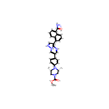 C[C@@H]1CN(C(=O)OC(C)(C)C)C[C@H](C)N1c1ccc(-c2cnc3c(-c4cccc5c(C(N)=O)cccc45)cnn3c2)cc1